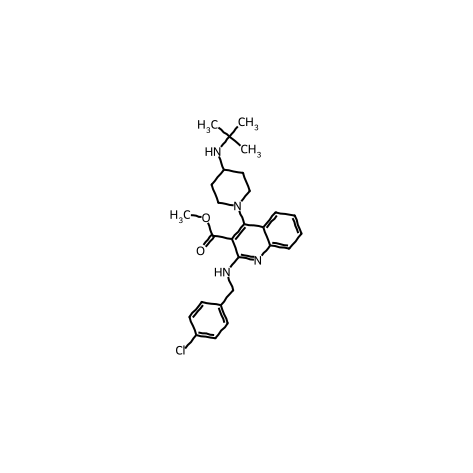 COC(=O)c1c(NCc2ccc(Cl)cc2)nc2ccccc2c1N1CCC(NC(C)(C)C)CC1